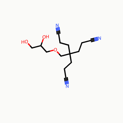 N#CCCC(CCC#N)(CCC#N)COCC(O)CO